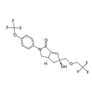 O=C1C2=C[C@](O)(COCC(F)(F)F)C[C@H]2CN1c1ccc(OC(F)(F)F)cc1